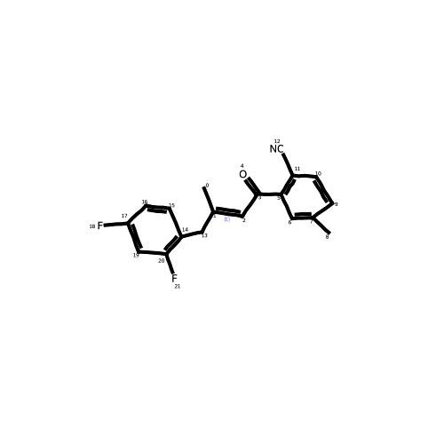 C/C(=C\C(=O)c1cc(C)ccc1C#N)Cc1ccc(F)cc1F